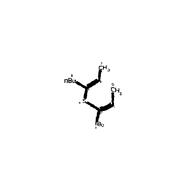 CC=C(CCCC)SC(=CC)CCCC